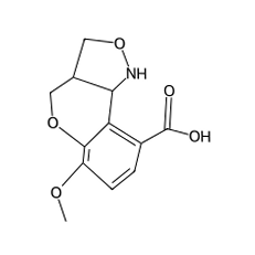 COc1ccc(C(=O)O)c2c1OCC1CONC21